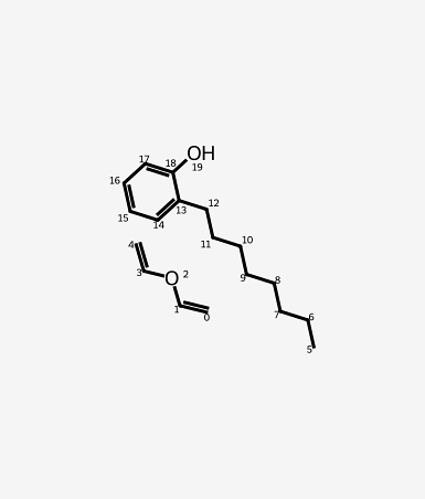 C=COC=C.CCCCCCCCc1ccccc1O